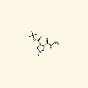 CC(C)(C)OC(=O)N1C[C@@H](F)C[C@H]1C(=O)NN